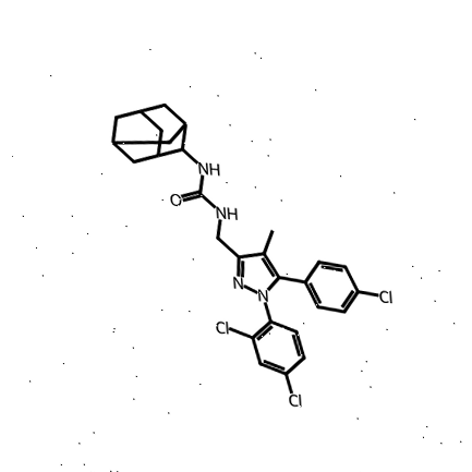 Cc1c(CNC(=O)NC2C3CC4CC(C3)CC2C4)nn(-c2ccc(Cl)cc2Cl)c1-c1ccc(Cl)cc1